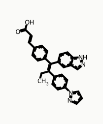 CCC(=C(c1ccc(C=CC(=O)O)cc1)c1ccc2[nH]ncc2c1)c1ccc(-n2cccn2)cc1